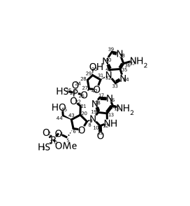 COP(=O)(S)OC[C@H]1O[C@@H](n2c(=O)[nH]c3c(N)ncnc32)C(COP(=O)(S)O[C@@H]2C[C@H](O)[C@H](n3cnc4c(N)ncnc43)O2)[C@@H]1CO